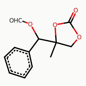 CC1(C(OC=O)c2ccccc2)COC(=O)O1